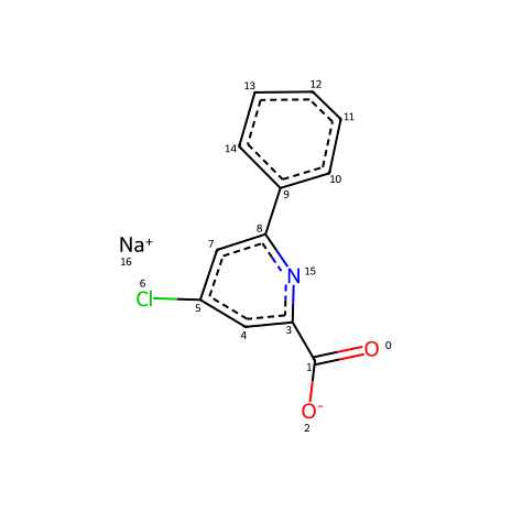 O=C([O-])c1cc(Cl)cc(-c2ccccc2)n1.[Na+]